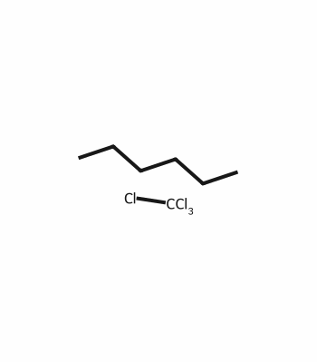 CCCCCC.ClC(Cl)(Cl)Cl